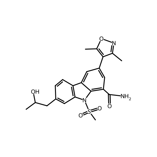 Cc1noc(C)c1-c1cc(C(N)=O)c2c(c1)c1ccc(CC(C)O)cc1n2S(C)(=O)=O